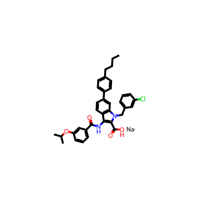 CCCCc1ccc(-c2ccc3c(NC(=O)c4cccc(OC(C)C)c4)c(C(=O)O)n(Cc4cccc(Cl)c4)c3c2)cc1.[Na]